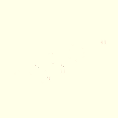 Cc1ccc(Cl)cc1-c1ccnc(C(=O)Nc2c(C)cc(CO)cc2C)n1